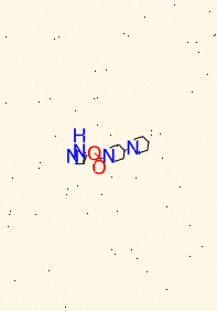 O=C(Oc1ccn[nH]1)N1CCC(N2CCCCC2)CC1